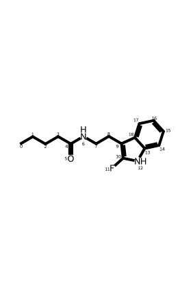 CCCCC(=O)NCCc1c(F)[nH]c2ccccc12